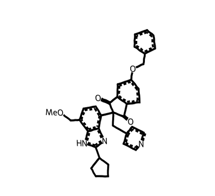 COCc1ccc(C2(Cc3ccncc3)C(=O)c3ccc(OCc4ccccc4)cc3C2=O)c2nc(C3CCCC3)[nH]c12